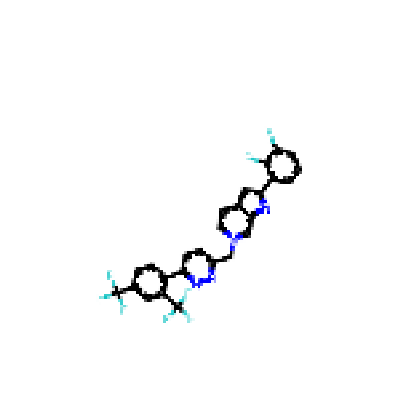 Fc1cccc(-c2cc3ccn(Cc4ccc(-c5ccc(C(F)(F)F)cc5C(F)(F)F)nn4)cc-3n2)c1F